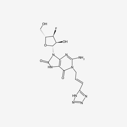 Nc1nc2c([nH]c(=O)n2[C@@H]2O[C@H](CO)[C@@H](F)[C@H]2O)c(=O)n1C/C=C/c1nnn[nH]1